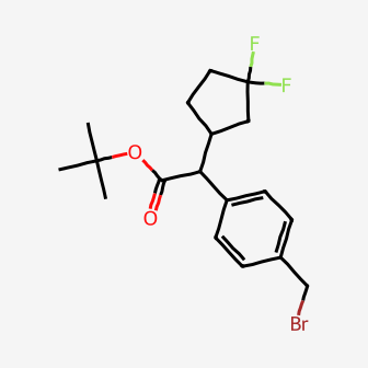 CC(C)(C)OC(=O)C(c1ccc(CBr)cc1)C1CCC(F)(F)C1